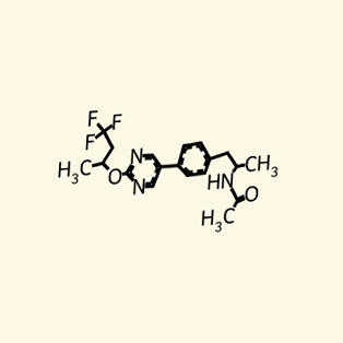 CC(=O)NC(C)Cc1ccc(-c2cnc(OC(C)CC(F)(F)F)nc2)cc1